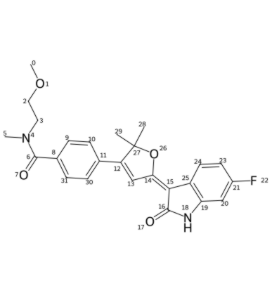 COCCN(C)C(=O)c1ccc(C2=C/C(=C3\C(=O)Nc4cc(F)ccc43)OC2(C)C)cc1